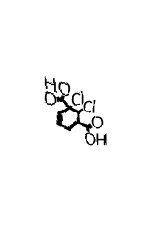 O=C(O)C1=CC=CC(Cl)(C(=O)O)C1Cl